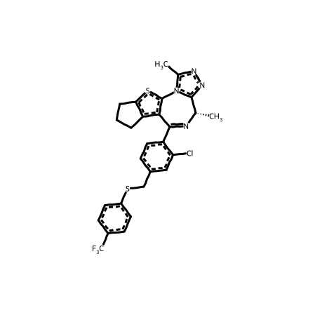 Cc1nnc2n1-c1sc3c(c1C(c1ccc(CSc4ccc(C(F)(F)F)cc4)cc1Cl)=N[C@H]2C)CCC3